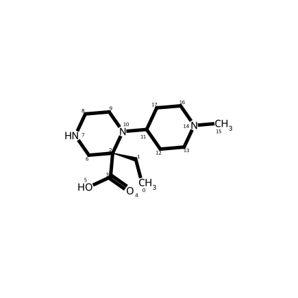 CC[C@@]1(C(=O)O)CNCCN1C1CCN(C)CC1